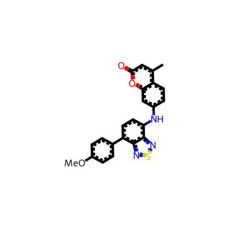 COc1ccc(-c2ccc(Nc3ccc4c(C)cc(=O)oc4c3)c3nsnc23)cc1